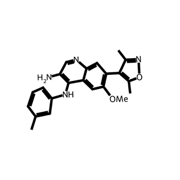 COc1cc2c(Nc3cccc(C)c3)c(N)cnc2cc1-c1c(C)noc1C